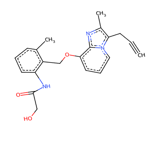 C#CCc1c(C)nc2c(OCc3c(C)cccc3NC(=O)CO)cccn12